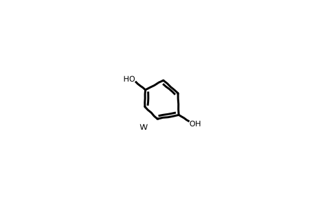 Oc1ccc(O)cc1.[W]